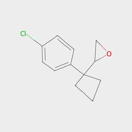 Clc1ccc(C2(C3CO3)CCC2)cc1